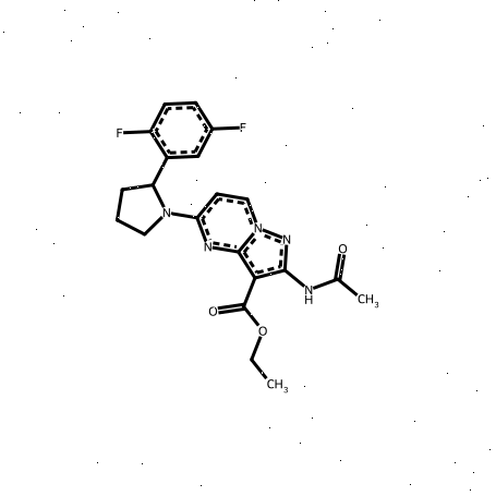 CCOC(=O)c1c(NC(C)=O)nn2ccc(N3CCCC3c3cc(F)ccc3F)nc12